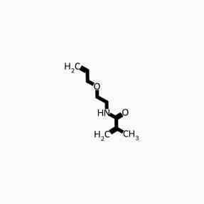 C=CCOCCNC(=O)C(=C)C